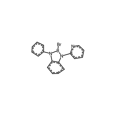 BrB1N(c2ccccc2)c2ccccc2N1c1ccccn1